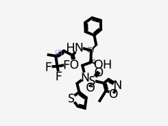 C/C(=C/C(=O)N[C@@H](Cc1ccccc1)[C@H](O)CN(Cc1cccs1)S(=O)(=O)c1cnoc1C)C(F)(F)F